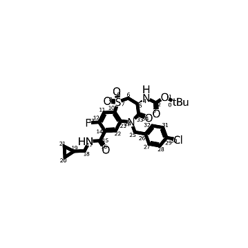 CC(C)(C)OC(=O)N[C@H]1CS(=O)(=O)c2cc(F)c(C(=O)NCC3CC3)cc2N(Cc2ccc(Cl)cc2)C1=O